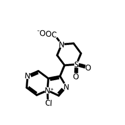 O=C([O-])N1CCS(=O)(=O)C(C2=C3C=NC=C[N+]3(Cl)C=N2)C1